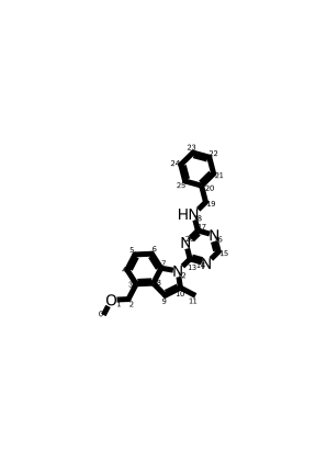 COCc1cccc2c1cc(C)n2-c1ncnc(NCc2ccccc2)n1